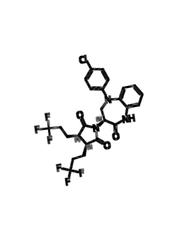 O=C1Nc2ccccc2N(c2ccc(Cl)cc2)C[C@@H]1N1C(=O)[C@@H](CCC(F)(F)F)[C@@H](CCC(F)(F)F)C1=O